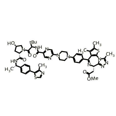 COC(=O)C[C@@H]1N=C(c2ccc(N3CCN(c4cnc(C(=O)NC(C(=O)N5C[C@H](O)C[C@H]5C(=O)N[C@@H](C)c5ccc(-c6scnc6C)cc5)C(C)(C)C)cn4)CC3)cc2)c2c(sc(C)c2C)-n2c(C)nnc21